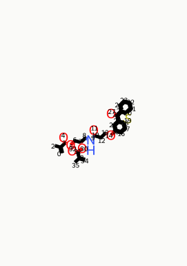 C=C(C)C(=O)OCC(CNC(=O)CCOc1ccc2sc3ccccc3c(=O)c2c1)OC(=O)C(=C)C